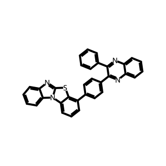 c1ccc(-c2nc3ccccc3nc2-c2ccc(-c3cccc4c3sc3nc5ccccc5n34)cc2)cc1